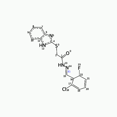 O=C(CSc1nc2ccccc2[nH]1)N/N=C/C1C(Cl)=CC=CC1F